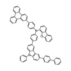 c1ccc(-c2ccc(-c3ccc4c(c3)c3cc(-c5ccc(N(c6ccc(-c7ccc8c9ccccc9c9ccccc9c8c7)cc6)c6cccc7c6oc6ccccc67)cc5)ccc3n4-c3ccccc3)cc2)cc1